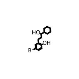 Oc1ccc(Br)cc1CCC(O)C1CCCCC1